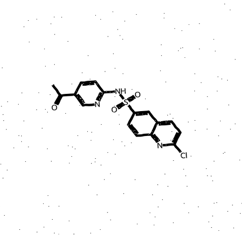 CC(=O)c1ccc(NS(=O)(=O)c2ccc3nc(Cl)ccc3c2)nc1